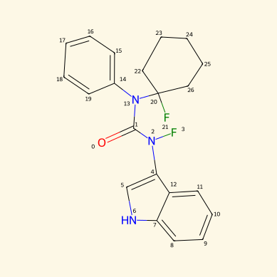 O=C(N(F)c1c[nH]c2ccccc12)N(c1ccccc1)C1(F)CCCCC1